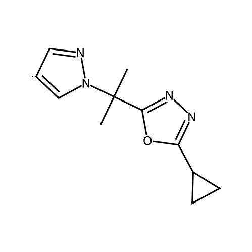 CC(C)(c1nnc(C2CC2)o1)n1c[c]cn1